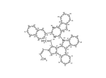 C=Cc1c(/C=C\C)sc2c3ccccc3c3c4ccccc4n(-c4nc(-c5ccc6ccccc6c5)nc5c4sc4ccccc45)c3c12